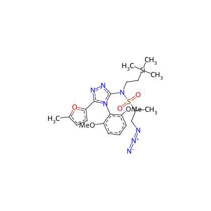 COc1cccc(OC)c1-n1c(-c2ccc(C)o2)nnc1N(CC[Si](C)(C)C)S(=O)(=O)C(C)CN=[N+]=[N-]